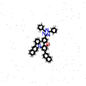 c1ccc(-c2nc(-c3ccccc3)nc(-c3ccc4c(c3)oc3cc(-c5ccc6ccccc6c5)cc(-n5c6ccccc6c6cc7ccccc7cc65)c34)n2)cc1